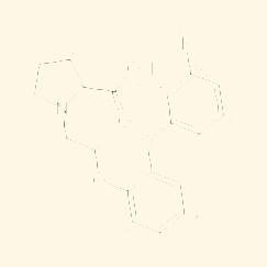 O=C(O)C1CCCN1CCOc1ccccc1Oc1cccc(F)c1